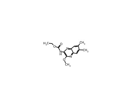 CCOC(=O)Nc1nc2cc(C)c(C)cc2nc1OC